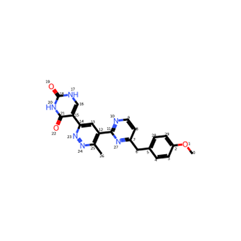 COc1ccc(Cc2ccnc(-c3cc(-c4c[nH]c(=O)[nH]c4=O)nnc3C)n2)cc1